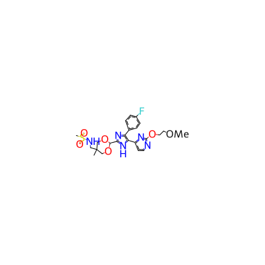 COCCOc1nccc(-c2[nH]c(C3OCC(C)(CNS(C)(=O)=O)CO3)nc2-c2ccc(F)cc2)n1